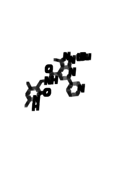 Cc1cc(C)c(CNC(=O)c2cc(-c3cccnc3)nc3c2c(C)nn3C(C)(C)C)c(=O)[nH]1